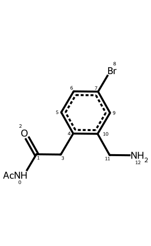 CC(=O)NC(=O)Cc1ccc(Br)cc1CN